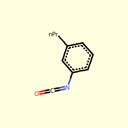 CC[CH]c1cccc(N=C=O)c1